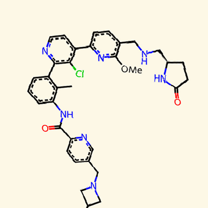 COc1nc(-c2ccnc(-c3cccc(NC(=O)c4ccc(CN5CC(OC)C5)cn4)c3C)c2Cl)ccc1CNC[C@H]1CCC(=O)N1